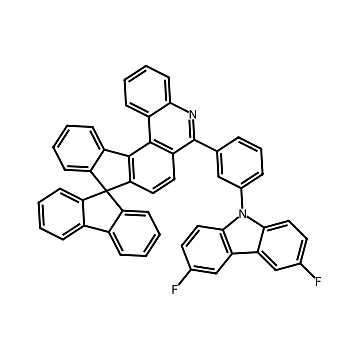 Fc1ccc2c(c1)c1cc(F)ccc1n2-c1cccc(-c2nc3ccccc3c3c4c(ccc23)C2(c3ccccc3-c3ccccc32)c2ccccc2-4)c1